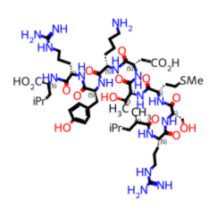 CSCC[C@H](NC(=O)[C@H](CO)NC(=O)[C@H](CCCNC(=N)N)NC(=O)[C@@H](C)CC(C)C)C(=O)N[C@H](C(=O)N[C@@H](CC(=O)O)C(=O)N[C@@H](CCCCN)C(=O)N[C@@H](Cc1ccc(O)cc1)C(=O)N[C@@H](CCCNC(=N)N)C(=O)N[C@@H](CC(C)C)C(=O)O)[C@@H](C)O